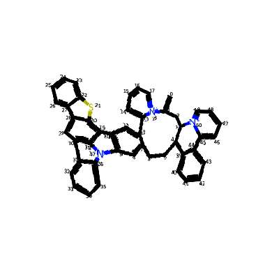 C=C1CC2C(CCc3cc4c(cc3-c3cccc[n+]31)c1c3sc5ccccc5c3cc3c5ccccc5n4c31)c1ccccc1-c1cccc[n+]12